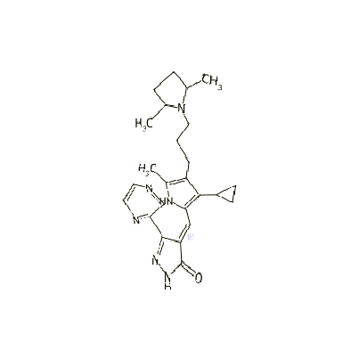 Cc1[nH]c(/C=C2/C(=O)NN=C2c2cnccn2)c(C2CC2)c1CCCN1C(C)CCC1C